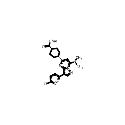 COC(=O)[C@H]1CC[C@H](c2cc(N(C)C)n3ncc(-c4ccc(Cl)nc4)c3n2)CC1